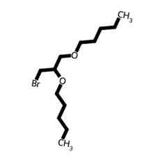 CCCCCOCC(CBr)OCCCCC